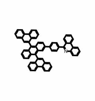 c1ccc2c(c1)cc(-c1c3ccccc3c(-c3cc4ccccc4c4ccccc34)c3cc(-c4ccc(-c5nc6ccccc6c6ccccc56)cc4)ccc13)c1ccccc12